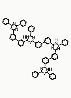 c1ccc(C2=NC(c3cccc(-c4cccc(C5=NC(c6ccccc6)NC(c6cccc(-c7cccc(C8=NC(c9cccc(-c%10cccc(-c%11cc(-c%12ccccc%12)nc(-c%12ccccc%12)n%11)c%10)c9)NC(c9ccccc9)=N8)c7)c6)=N5)c4)c3)NC(c3ccccc3)=N2)cc1